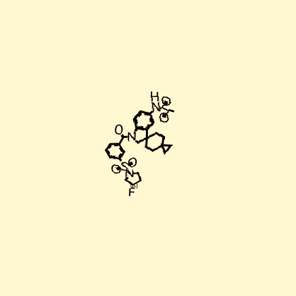 CS(=O)(=O)Nc1ccc2c(c1)C1(CCC3(CC3)CC1)CN2C(=O)c1cccc(S(=O)(=O)N2CC[C@H](F)C2)c1